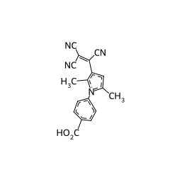 Cc1cc(C(C#N)=C(C#N)C#N)c(C)n1-c1ccc(C(=O)O)cc1